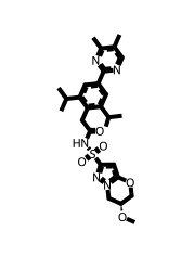 CO[C@H]1COc2cc(S(=O)(=O)NC(=O)Cc3c(C(C)C)cc(-c4ncc(C)c(C)n4)cc3C(C)C)nn2C1